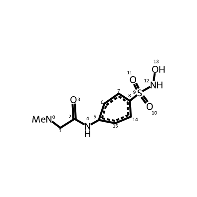 CNCC(=O)Nc1ccc(S(=O)(=O)NO)cc1